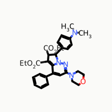 CCOC(=O)C1=C2C(c3ccccc3)=CC(N3CCOCC3)=NN2C(c2ccc(N(C)C)cc2)C1C(=O)OCC